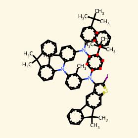 Cc1ccc(N(c2ccc(C(C)(C)C)cc2)c2ccccc2-c2ccccc2)cc1N(c1cccc(N(c2ccc(C(C)(C)C)cc2)c2c(I)sc3cc4c(cc23)-c2ccccc2C4(C)C)c1C)c1cccc2c1-c1ccccc1C2(C)C